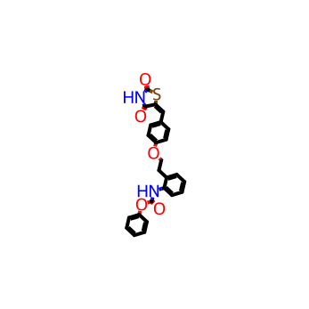 O=C(Nc1ccccc1CCOc1ccc(/C=C2/SC(=O)NC2=O)cc1)Oc1ccccc1